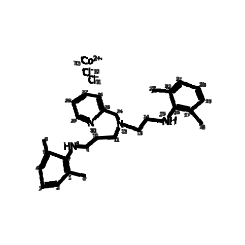 Cc1cccc(C)c1NCCCN(CCNc1c(C)cccc1C)Cc1ccccn1.[Cl-].[Cl-].[Co+2]